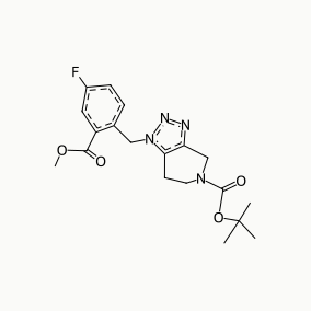 COC(=O)c1cc(F)ccc1Cn1nnc2c1CCN(C(=O)OC(C)(C)C)C2